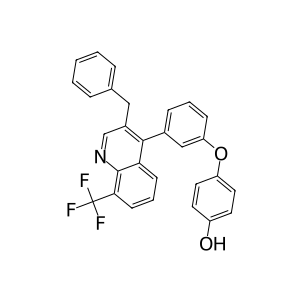 Oc1ccc(Oc2cccc(-c3c(Cc4ccccc4)cnc4c(C(F)(F)F)cccc34)c2)cc1